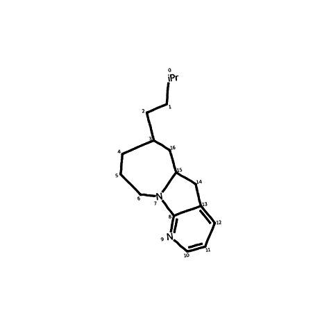 CC(C)CCC1CCCN2c3ncccc3CC2C1